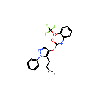 CCCc1c(OC(=O)Nc2ccccc2OC(F)(F)F)cnn1-c1ccccc1